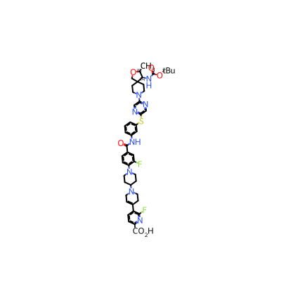 C[C@@H]1OCC2(CCN(c3cnc(Sc4cccc(NC(=O)c5ccc(N6CCC(N7CC=C(c8ccc(C(=O)O)nc8F)CC7)CC6)c(F)c5)c4)cn3)CC2)[C@@H]1NC(=O)OC(C)(C)C